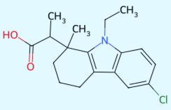 CCn1c2c(c3cc(Cl)ccc31)CCCC2(C)C(C)C(=O)O